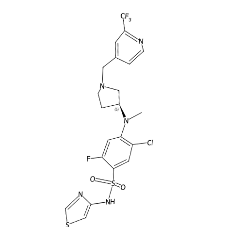 CN(c1cc(F)c(S(=O)(=O)Nc2cscn2)cc1Cl)[C@H]1CCN(Cc2ccnc(C(F)(F)F)c2)C1